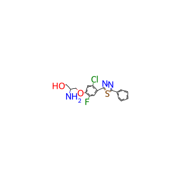 NC(CO)COc1cc(Cl)c(-c2nnc(-c3ccccc3)s2)cc1F